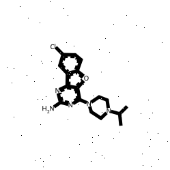 CC(C)N1CCN(c2nc(N)nc3c2oc2ccc(Cl)cc23)CC1